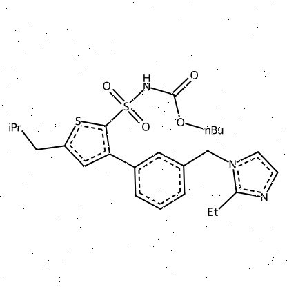 CCCCOC(=O)NS(=O)(=O)c1sc(CC(C)C)cc1-c1cccc(Cn2ccnc2CC)c1